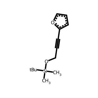 CC(C)(C)[Si](C)(C)OCC#Cc1ccco1